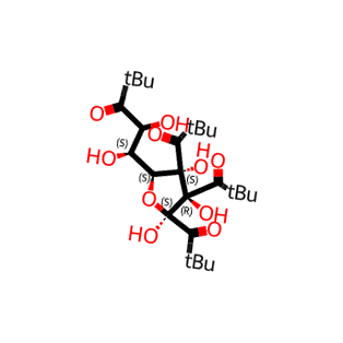 CC(C)(C)C(=O)C(O)[C@H](O)[C@@H]1O[C@](O)(C(=O)C(C)(C)C)[C@@](O)(C(=O)C(C)(C)C)[C@]1(O)C(=O)C(C)(C)C